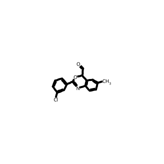 Cc1ccc2c(c1)C(C=O)OC(c1cccc(Cl)c1)=N2